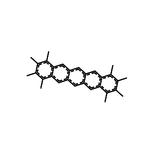 Cc1c(C)c(C)c2cc3cc4cc5c(C)c(C)c(C)c(C)c5cc4cc3cc2c1C